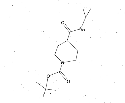 CC(C)(C)OC(=O)N1CCC(C(=O)NC2CC2)CC1